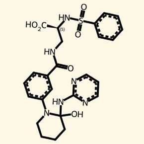 O=C(NC[C@H](NS(=O)(=O)c1ccccc1)C(=O)O)c1cccc(N2CCCCC2(O)Nc2ncccn2)c1